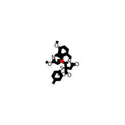 COc1ccc(CN2C(=O)C[C@](Sc3ccc(C)cc3)(C(=O)O)C2c2ccnc(OC)c2)c(OC)c1